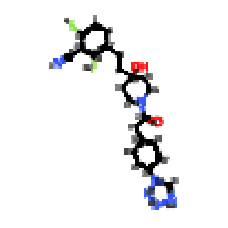 N#Cc1c(F)ccc(CCC2(O)CCN(C(=O)Cc3ccc(-n4cnnn4)cc3)CC2)c1F